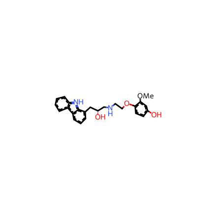 COc1cc(O)ccc1OCCNC[C@H](O)Cc1cccc2c1[nH]c1ccccc12